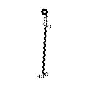 O=C(O)CCCCCCCCCCCCCCCCCCCC(=O)OCOCc1ccccc1